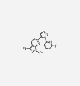 CCc1nn(C(C)C)c2nc(-c3ccnn3-c3cccc(F)n3)ccc12